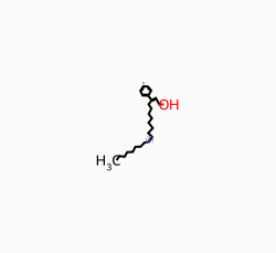 CCCCCCCC/C=C\CCCCCCCC(=CCO)c1cc[c]cc1